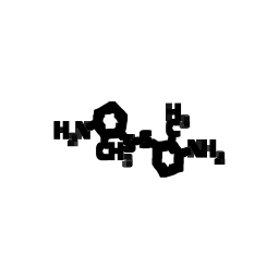 Cc1c(N)cccc1SSc1cccc(N)c1C